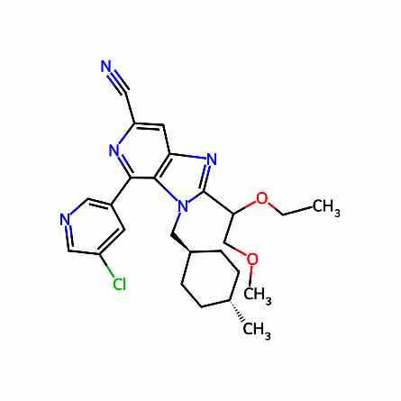 CCOC(COC)c1nc2cc(C#N)nc(-c3cncc(Cl)c3)c2n1C[C@H]1CC[C@H](C)CC1